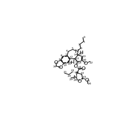 CCCCN1CCc2cc3c(cc2[C@@H]2[C@H](OC(=O)[C@@](CCC)(CC(=O)OC)N(C)C)C(OC)=C[C@@H]21)OCO3